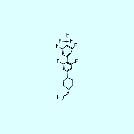 C=CC1CCC(c2cc(F)c(-c3cc(F)c(C(F)(F)F)c(F)c3)c(F)c2)CC1